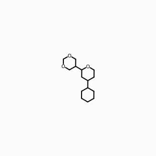 C1CCC(C2CCOC(C3COCOC3)C2)CC1